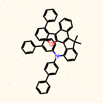 CC1(C)c2cccc(N(c3ccc(-c4ccccc4)cc3)c3cccc(-c4ccccc4)c3)c2-c2c1c1ccccc1c1c2oc2cccc(-c3ccccc3)c21